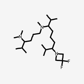 CC(C)C(CCCN(C)C(CCCC(C(C)C)N1CC(F)(F)C1)C(C)C)N(C)C